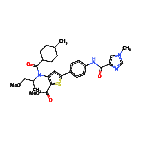 COCC(C)N(C(=O)C1CCC(C)CC1)c1cc(-c2ccc(NC(=O)c3cn(C)cn3)cc2)sc1C(=O)OC